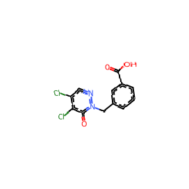 O=C(O)c1cccc(Cn2ncc(Cl)c(Cl)c2=O)c1